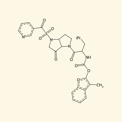 Cc1c(OC(=O)NC(CC(C)C)C(=O)N2CCC3C2C(=O)CN3S(=O)(=O)C(=O)c2cccnc2)oc2ccccc12